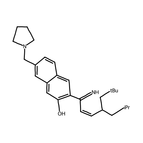 CC(C)CC(/C=C\C(=N)c1cc2ccc(CN3CCCC3)cc2cc1O)CC(C)(C)C